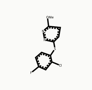 COc1ccc(Sc2ccc(F)cc2Cl)nn1